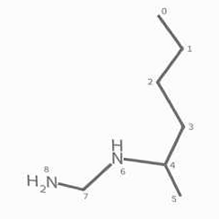 CCCCC(C)NCN